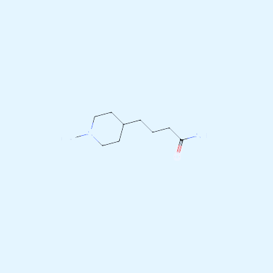 CCCCN1CCC(CCCC(N)=O)CC1